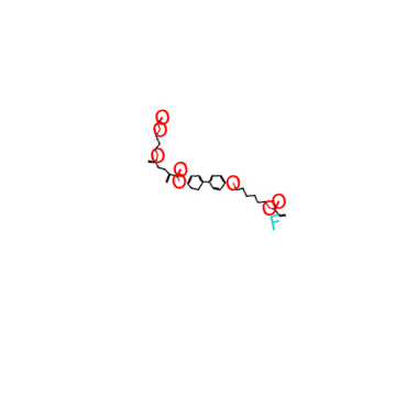 C=C(CCC(=C)C(=O)OC1=CC=C(c2ccc(OCCCCCCOC(=O)C(=C)F)cc2)CC1)OCCCOC=O